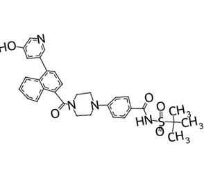 CC(C)(C)S(=O)(=O)NC(=O)c1ccc(N2CCN(C(=O)c3ccc(-c4cncc(O)c4)c4ccccc34)CC2)cc1